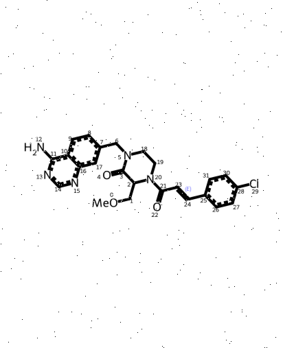 COCC1C(=O)N(Cc2ccc3c(N)ncnc3c2)CCN1C(=O)/C=C/c1ccc(Cl)cc1